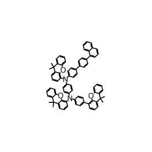 CC1(C)c2ccccc2Oc2c(-c3ccc(N(c4ccc(N(c5ccc(-c6ccc(-c7cccc8ccccc78)cc6)cc5)c5cccc6c5Oc5ccccc5C6(C)C)cc4)c4cccc5c4Oc4ccccc4C5(C)C)cc3)cccc21